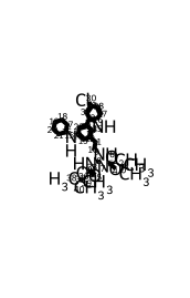 CC(C)(C)OC(=O)/N=C(\NCCc1cc(NC2CCCCC2)cc2c1[nH]c1ccc(Cl)cc12)NC(=O)OC(C)(C)C